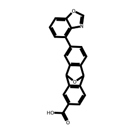 O=C(O)c1ccc2c(c1)C1OC2c2ccc(-c3cccc4ocnc34)cc21